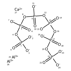 O=P([O-])([O-])OP(=O)([O-])OP(=O)([O-])OP(=O)([O-])OP(=O)([O-])OP(=O)([O-])[O-].[Al+3].[Al+3].[Ca+2]